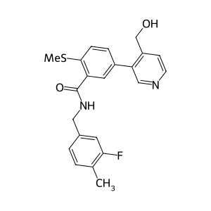 CSc1ccc(-c2cnccc2CO)cc1C(=O)NCc1ccc(C)c(F)c1